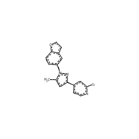 Cc1cc(-c2ccnc(Cl)c2)nn1-c1ccc2occc2c1